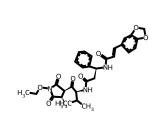 CCON1C(=O)[C@@H](C(=O)[C@@H](NC(=O)C[C@H](NC(=O)/C=C/c2ccc3c(c2)OCO3)c2ccccc2)C(C)C)[C@H](C)C1=O